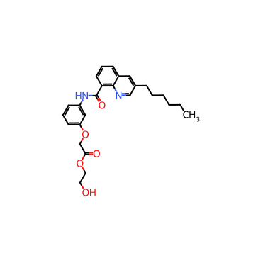 CCCCCCc1cnc2c(C(=O)Nc3cccc(OCC(=O)OCCO)c3)cccc2c1